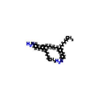 CCCCCCCc1cc(Cc2ccc(N)cc2)ccc1CCCCCCCc1ccc(Cc2ccc(N)cc2)cc1CCCCCCC